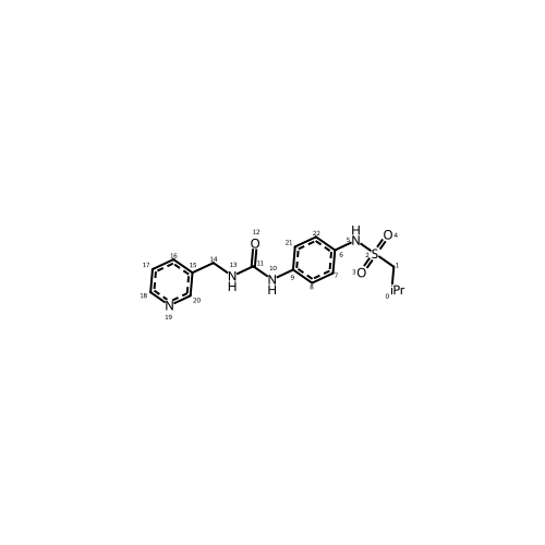 CC(C)CS(=O)(=O)Nc1ccc(NC(=O)NCc2cccnc2)cc1